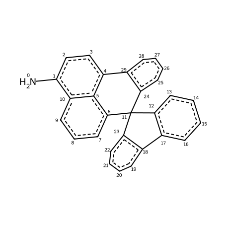 Nc1ccc2c3c(cccc13)C1(c3ccccc3-c3ccccc31)c1ccccc1-2